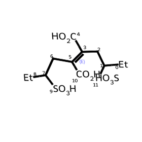 CCC(C/C(C(=O)O)=C(/CC(CC)S(=O)(=O)O)C(=O)O)S(=O)(=O)O